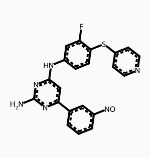 Nc1nc(Nc2ccc(Sc3ccncc3)c(F)c2)cc(-c2cccc(N=O)c2)n1